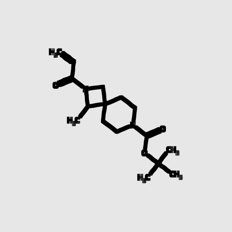 C=CC(=O)N1CC2(CCN(C(=O)OC(C)(C)C)CC2)C1C